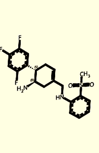 CS(=O)(=O)c1ccccc1NCC1=CC[C@@H](c2cc(F)c(F)cc2F)[C@H](N)C1